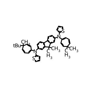 CC1(C)C=CC=C(N(c2ccc3c(c2)C(C)(C)c2cc(N(C4=CC=CC(C)(C(C)(C)C)C=C4)c4cccs4)ccc2-3)c2cccs2)C=C1